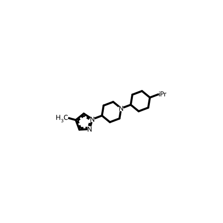 Cc1cnn(C2CCN(C3CCC(C(C)C)CC3)CC2)c1